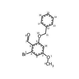 COc1cc(Br)c(C=O)c(OCc2ccccc2)c1